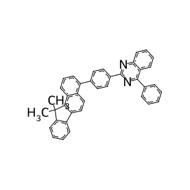 CC1(C)c2ccccc2-c2ccc3c(-c4ccc(-c5nc(-c6ccccc6)c6ccccc6n5)cc4)cccc3c21